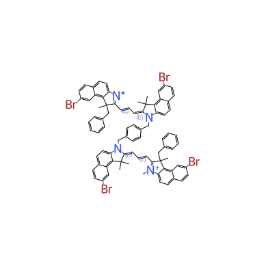 C[N+]1=C(/C=C/C=C2/N(Cc3ccc(CN4/C(=C/C=C/C5=[N+](C)c6ccc7ccc(Br)cc7c6C5(C)Cc5ccccc5)C(C)(C)c5c4ccc4ccc(Br)cc54)cc3)c3ccc4ccc(Br)cc4c3C2(C)C)C(C)(Cc2ccccc2)c2c1ccc1ccc(Br)cc21